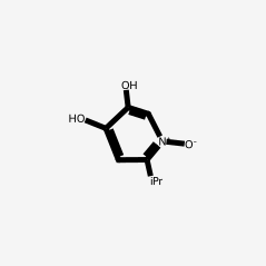 CC(C)c1cc(O)c(O)c[n+]1[O-]